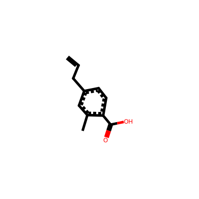 C=CCc1ccc(C(=O)O)c(C)c1